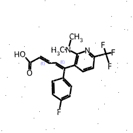 CN(C)c1nc(C(F)(F)F)ccc1/C(=C/C=C/C(=O)O)c1ccc(F)cc1